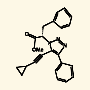 COC(=O)[C@H](Cc1ccccc1)n1nnc(-c2ccccc2)c1C#CC1CC1